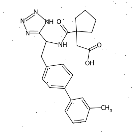 Cc1cccc(-c2ccc(CC(NC(=O)C3(CC(=O)O)CCCC3)c3nnn[nH]3)cc2)c1